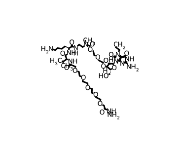 C=CCn1c(=O)n([C@@H]2O[C@H](CO)[C@H]3OC(COCCOC(=O)N(C)CCNC(=O)[C@H](CCCCN)NC(=O)[C@@H](NC(=O)COCCOCCOCCOCCOCC(=O)NN)C(C)C)O[C@H]32)c2nc(N)[nH]c(=O)c21